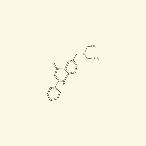 CCN(CC)Cc1ccc2[nH]c(-c3ccccc3)cc(=O)c2c1